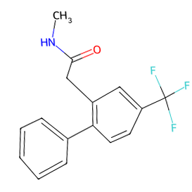 CNC(=O)Cc1cc(C(F)(F)F)ccc1-c1ccccc1